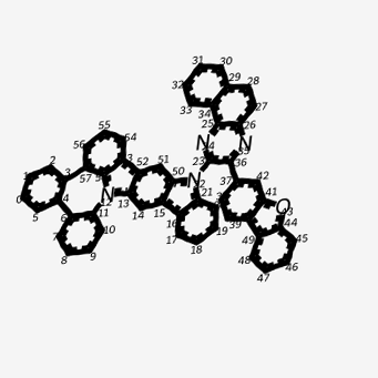 c1ccc2c(c1)-c1ccccc1-n1c3cc4c5ccccc5n(-c5nc6c(ccc7ccccc76)nc5-c5ccc6c(c5)oc5ccccc56)c4cc3c3cccc-2c31